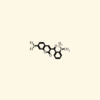 CCN(CC)c1ccc2cc(C(=O)c3ccccc3N(C)C)c(=O)oc2c1